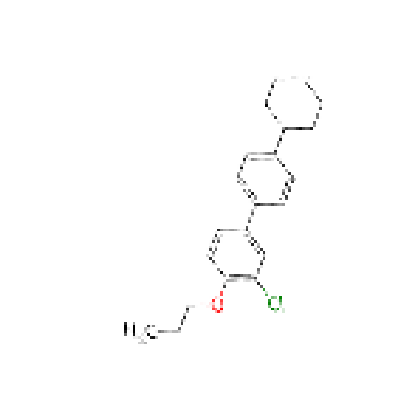 CCCOc1ccc(-c2ccc(C3CC[CH]CC3)cc2)cc1Cl